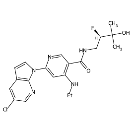 CCNc1cc(-n2ccc3cc(Cl)cnc32)ncc1C(=O)NC[C@@H](F)C(C)(C)O